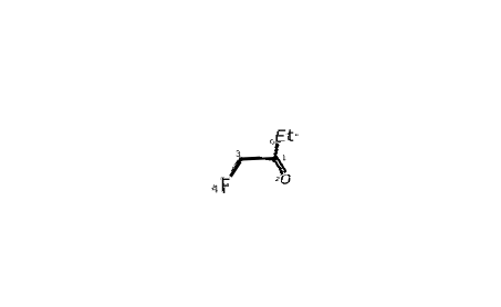 C[CH]C(=O)CF